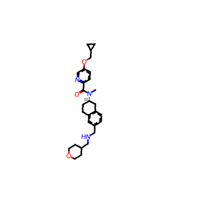 CN(C(=O)c1ccc(OCC2CC2)cn1)[C@H]1CCc2cc(CNCC3CCOCC3)ccc2C1